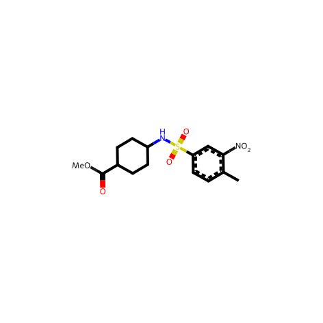 COC(=O)C1CCC(NS(=O)(=O)c2ccc(C)c([N+](=O)[O-])c2)CC1